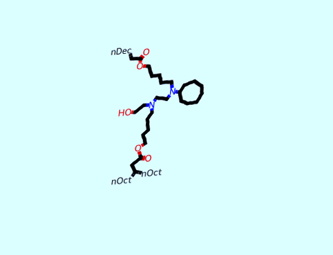 CCCCCCCCCCCC(=O)OCCCCCN(CCN(CCO)CCCCCOC(=O)CC(CCCCCCCC)CCCCCCCC)C1CCCCCCC1